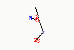 CCCCCCCCCC(CCCCCCCC/C=C\CCCCCC(=O)OCC)OC(=O)CCCN(C)C